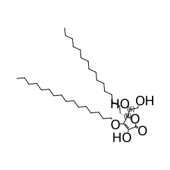 CCCCCCCCCCCCCCCCOC1=C(O)C(=O)O[C@]1(CCCCCCCCCCCCCCCC)[C@@H](O)CO